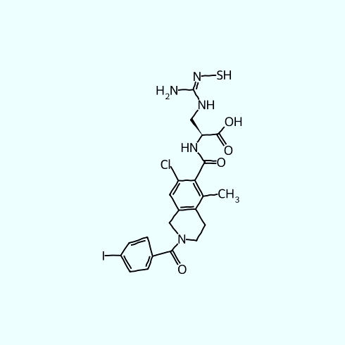 Cc1c2c(cc(Cl)c1C(=O)N[C@@H](CN/C(N)=N\S)C(=O)O)CN(C(=O)c1ccc(I)cc1)CC2